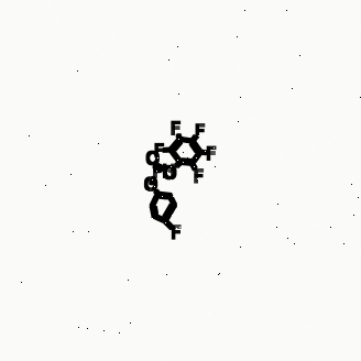 O=[PH](Oc1ccc(F)cc1)Oc1c(F)c(F)c(F)c(F)c1F